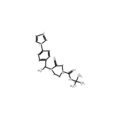 CC(c1ccc(-n2ccnc2)cc1)N1CCN(C(=O)OC(C)(C)C)CC1=O